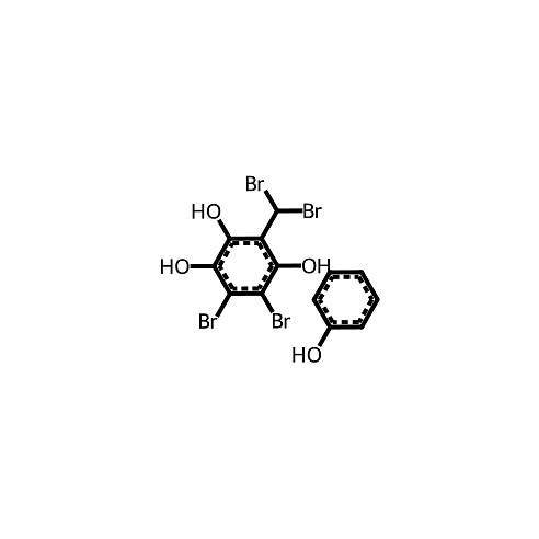 Oc1c(O)c(C(Br)Br)c(O)c(Br)c1Br.Oc1ccccc1